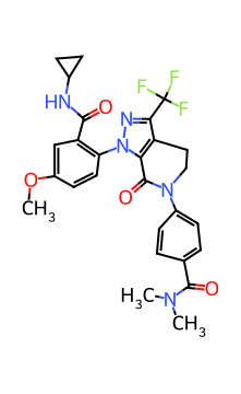 COc1ccc(-n2nc(C(F)(F)F)c3c2C(=O)N(c2ccc(C(=O)N(C)C)cc2)CC3)c(C(=O)NC2CC2)c1